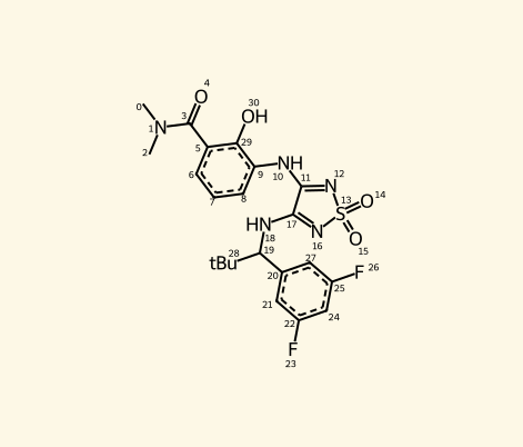 CN(C)C(=O)c1cccc(NC2=NS(=O)(=O)N=C2NC(c2cc(F)cc(F)c2)C(C)(C)C)c1O